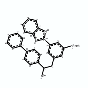 CCCCCc1cc(CC(CCC)c2ccc(-c3ccccc3)cc2)cc(-n2nc3ccccc3n2)c1